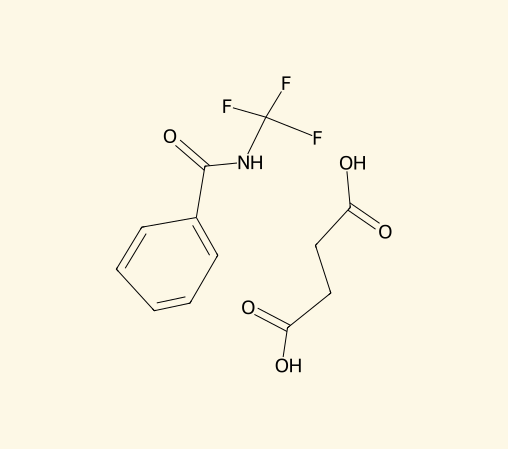 O=C(NC(F)(F)F)c1ccccc1.O=C(O)CCC(=O)O